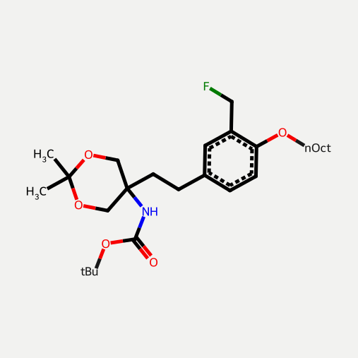 CCCCCCCCOc1ccc(CCC2(NC(=O)OC(C)(C)C)COC(C)(C)OC2)cc1CF